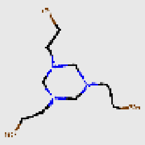 SCCN1CN(CCS)CN(CCS)C1